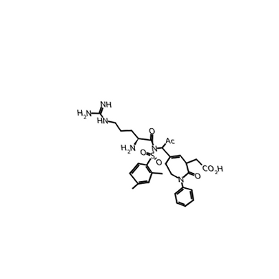 CC(=O)C(C1=CC(CC(=O)O)C(=O)N(c2ccccc2)CC1)N(C(=O)[C@@H](N)CCCNC(=N)N)S(=O)(=O)c1ccc(C)cc1C